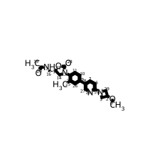 COC1CN(c2ccc(-c3ccc(N4C[C@H](CNC(C)=O)OC4=O)c(C)c3)cn2)C1